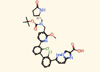 COc1nc(-c2cccc(-c3cccc(-c4ccc5nc(C(=O)O)cn5n4)c3Cl)c2Cl)ccc1CN(C[C@@H]1CCC(=O)N1)C(=O)OC(C)(C)C